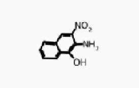 Nc1c([N+](=O)[O-])cc2ccccc2c1O